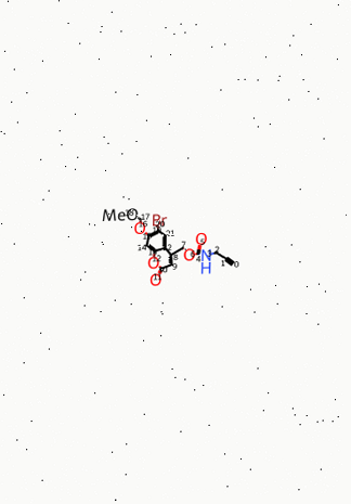 C#CCNC(=O)OCc1cc(=O)oc2cc(OCOC)c(Br)cc12